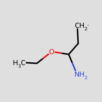 [CH2]CC(N)OCC